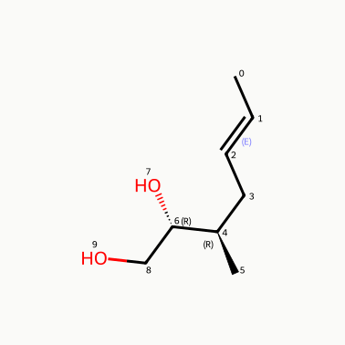 C/C=C/C[C@@H](C)[C@@H](O)CO